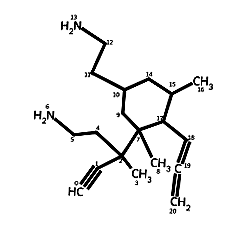 C#CC(C)(CCN)C1(C)CC(CCN)CC(C)C1C=C=C